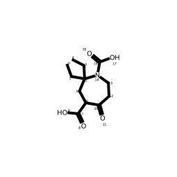 CCC1(CC)CC(C(=O)O)C(=O)CCN1C(=O)O